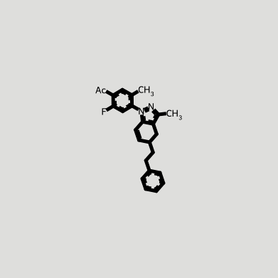 CC(=O)c1cc(C)c(-n2nc(C)c3c2C=CC(CCc2ccccc2)C3)cc1F